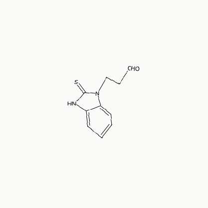 O=CCCn1c(=S)[nH]c2ccccc21